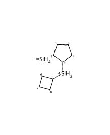 C1CCC([SiH2]C2CCC2)C1.[SiH4]